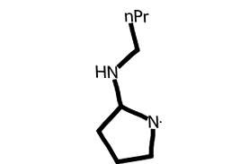 CCCCNC1CCC[N]1